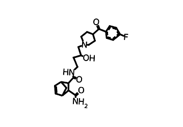 NC(=O)C1C2C=CC(C2)C1C(=O)NCCC(O)CN1CCC(C(=O)c2ccc(F)cc2)CC1